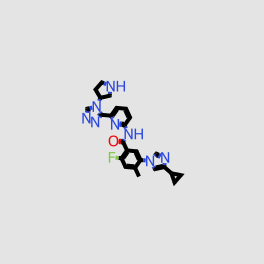 Cc1cc(F)c(C(=O)Nc2cccc(-c3nncn3C3CCNC3)n2)cc1-n1cnc(C2CC2)c1